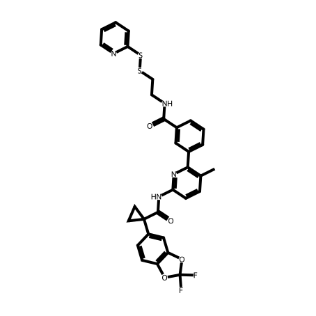 Cc1ccc(NC(=O)C2(c3ccc4c(c3)OC(F)(F)O4)CC2)nc1-c1cccc(C(=O)NCCSSc2ccccn2)c1